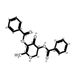 CC1=C(OC(=O)c2ccccc2)C(=O)C(OC(=O)c2ccccc2)CO1